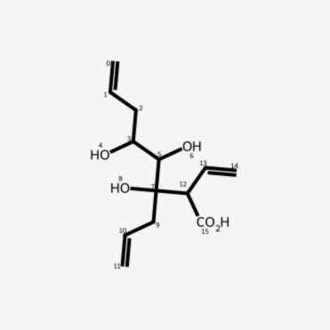 C=CCC(O)C(O)C(O)(CC=C)C(C=C)C(=O)O